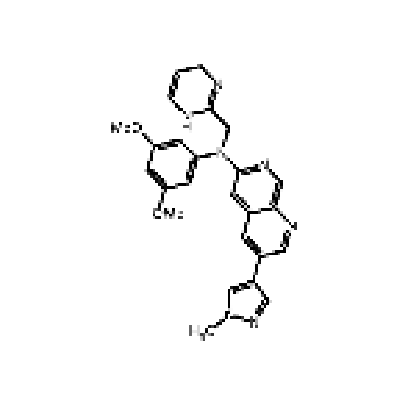 COc1cc(OC)cc(N(CC2=NCC=CN2)c2cc3cc(-c4cnn(C)c4)cnc3cn2)c1